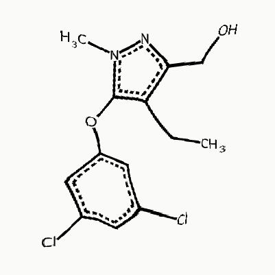 CCc1c(CO)nn(C)c1Oc1cc(Cl)cc(Cl)c1